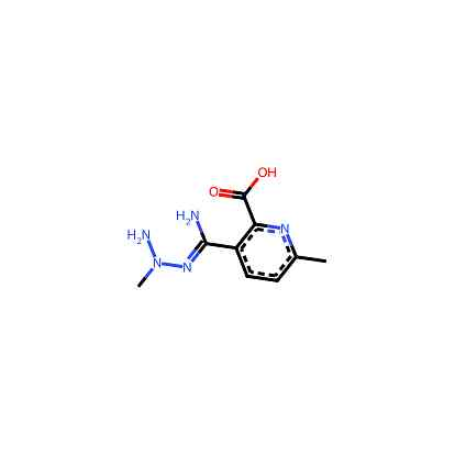 Cc1ccc(/C(N)=N/N(C)N)c(C(=O)O)n1